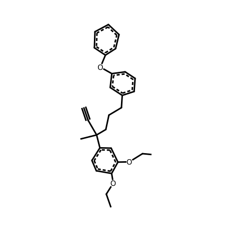 C#CC(C)(CCCc1cccc(Oc2ccccc2)c1)c1ccc(OCC)c(OCC)c1